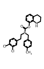 Cc1ccc(CN(CCc2ccc(Cl)c(Cl)c2)C(=O)Oc2cccc3c2NCCC3)cc1